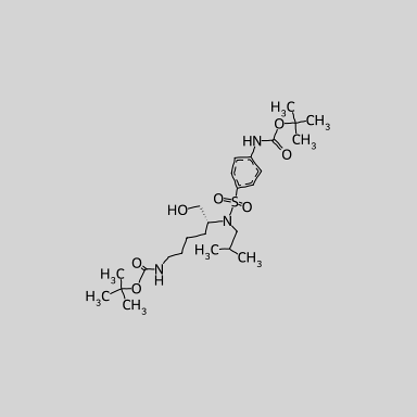 CC(C)CN([C@@H](CO)CCCCNC(=O)OC(C)(C)C)S(=O)(=O)c1ccc(NC(=O)OC(C)(C)C)cc1